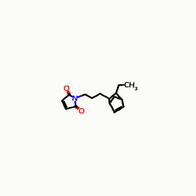 CCC1C2C=CC(C2)C1CCCN1C(=O)C=CC1=O